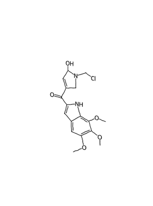 COc1cc2cc(C(=O)C3=CC(O)N(CCl)C3)[nH]c2c(OC)c1OC